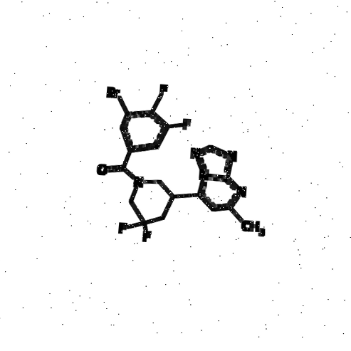 Cc1cc(C2CN(C(=O)c3cc(F)c(F)c(Br)c3)CC(F)(F)C2)n2ncnc2n1